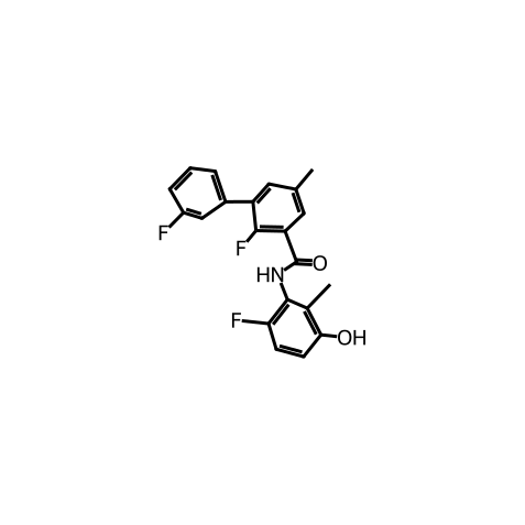 Cc1cc(C(=O)Nc2c(F)ccc(O)c2C)c(F)c(-c2cccc(F)c2)c1